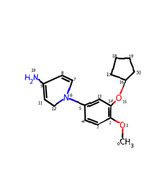 COc1ccc(N2C=CC(N)=CC2)cc1OC1CCCC1